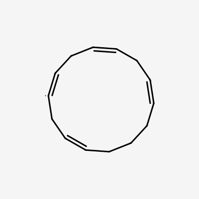 [C]1=CCC=CCC=CCCCC=CC1